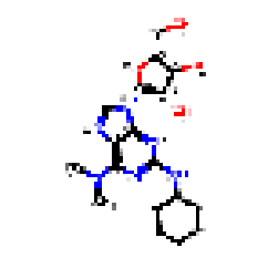 CN(C)c1nc(NC2CCCCC2)nc2c1ncn2[C@@H]1O[C@H](CO)C(O)[C@@H]1O